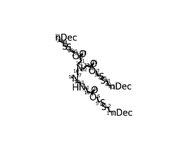 CCCCCCCCCCCCSSCCOC(=O)CCNCCN(C)CCN(CCC(=O)OCCSSCCCCCCCCCCCC)CCC(=O)OCCSSCCCCCCCCCCCC